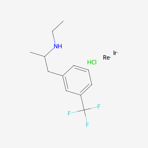 CCNC(C)Cc1cccc(C(F)(F)F)c1.Cl.[Ir].[Re]